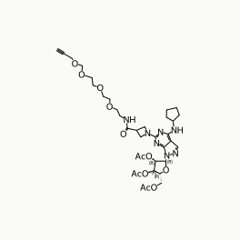 C#CCOCOCCOCCOCCNC(=O)C1CN(c2nc(NC3CCCC3)c3cnn([C@@H]4O[C@H](COC(C)=O)[C@@H](OC(C)=O)[C@H]4OC(C)=O)c3n2)C1